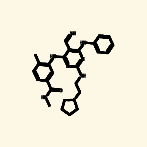 CNC(=O)c1ccc(C)c(Nc2nc(NCCN3CCCC3)nc(Nc3ccccc3)c2C=N)c1